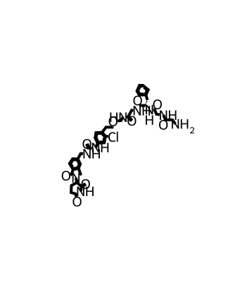 NCC(=O)NCC(=O)N[C@@H](Cc1ccccc1)C(=O)NCC(=O)NCOCCc1ccc(NC(=O)NCc2ccc3c(c2)CN(C2CCC(=O)NC2=O)C3=O)cc1Cl